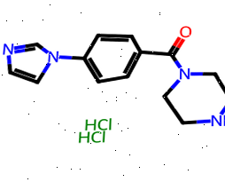 Cl.Cl.O=C(c1ccc(-n2ccnc2)cc1)N1CCNCC1